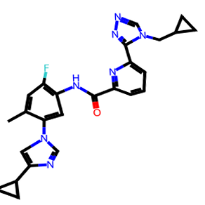 Cc1cc(F)c(NC(=O)c2cccc(-c3nncn3CC3CC3)n2)cc1-n1cnc(C2CC2)c1